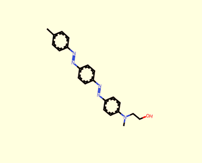 Cc1ccc(N=Nc2ccc(N=Nc3ccc(N(C)CCO)cc3)cc2)cc1